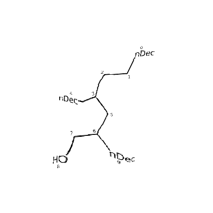 CCCCCCCCCCCCC(CCCCCCCCCC)CC(CO)CCCCCCCCCC